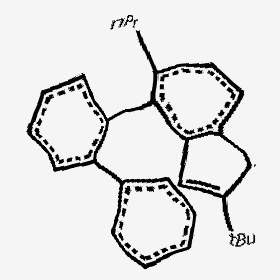 CCCc1ccc2c(c1-c1ccccc1-c1ccccc1)C=C(C(C)(C)C)[CH]2